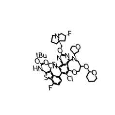 CC(C)(C)OC(=O)Nc1sc2c(F)ccc(-c3c(Cl)c4c5c(nc(OC[C@@]67CCCN6C[C@H](F)C7)nc5c3F)N(C3CCOC3)CC(OC3CCCCO3)CO4)c2c1C#N